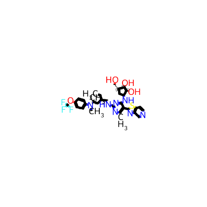 CCC(CNc1nc(C)c(-c2nc3cnccc3s2)c(NC2C[C@H](CO)[C@@H](O)[C@H]2O)n1)C[C@@H](C)N(C)c1ccc(OC(F)(F)F)cc1